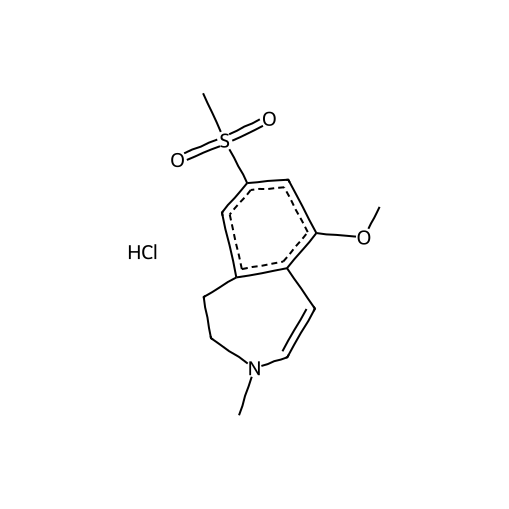 COc1cc(S(C)(=O)=O)cc2c1C=CN(C)CC2.Cl